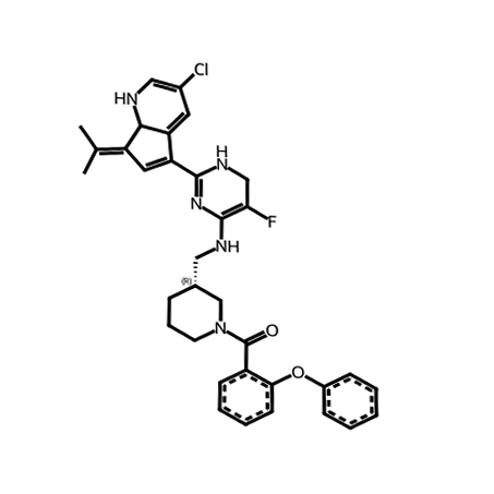 CC(C)=C1C=C(C2=NC(NC[C@H]3CCCN(C(=O)c4ccccc4Oc4ccccc4)C3)=C(F)CN2)C2=CC(Cl)=CNC21